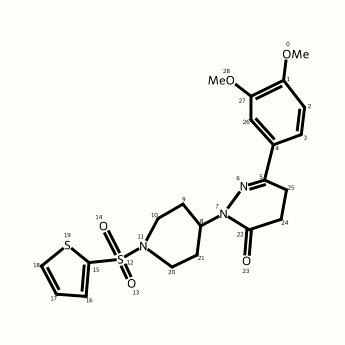 COc1ccc(C2=NN(C3CCN(S(=O)(=O)c4cccs4)CC3)C(=O)CC2)cc1OC